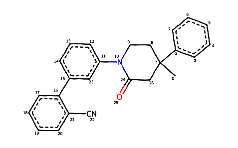 CC1(c2ccccc2)CCN(c2cccc(-c3ccccc3C#N)c2)C(=O)C1